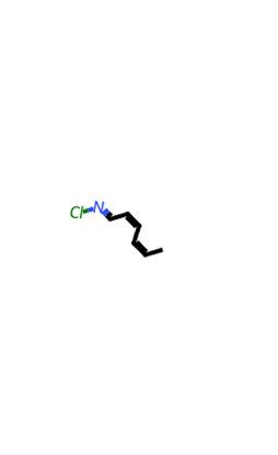 C\C=C/C=C\C=N\Cl